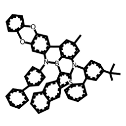 Cc1cc2c3c(c1)N(c1ccc(C(C)(C)C)cc1-c1ccccc1)c1sc4cc5ccccc5cc4c1B3N(c1ccc(-c3ccccc3)cc1)c1cc3c(cc1-2)Oc1ccccc1O3